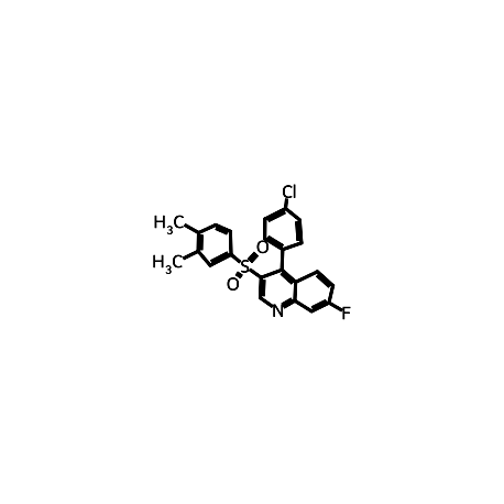 Cc1ccc(S(=O)(=O)c2cnc3cc(F)ccc3c2-c2ccc(Cl)cc2)cc1C